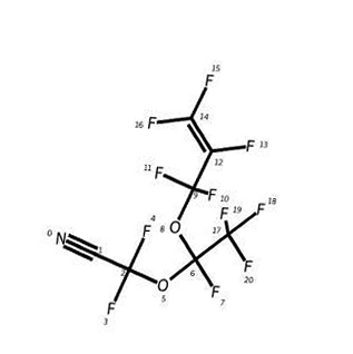 N#CC(F)(F)OC(F)(OC(F)(F)C(F)=C(F)F)C(F)(F)F